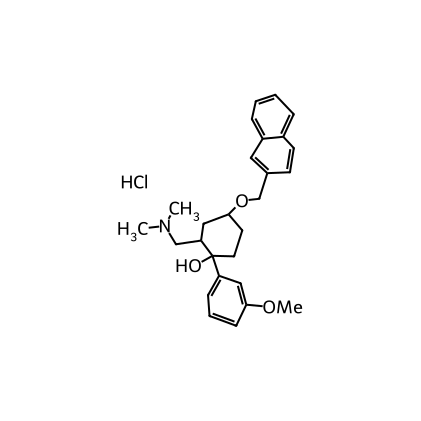 COc1cccc(C2(O)CCC(OCc3ccc4ccccc4c3)CC2CN(C)C)c1.Cl